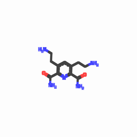 NCCc1cc(CCN)c(C(N)=O)nc1C(N)=O